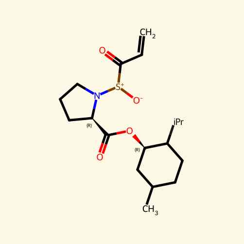 C=CC(=O)[S+]([O-])N1CCC[C@@H]1C(=O)O[C@@H]1CC(C)CCC1C(C)C